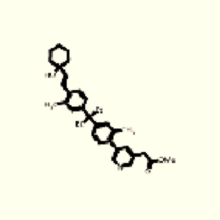 CCC(CC)(c1ccc(/C=C/C2(O)CCCCC2)c(C)c1)c1ccc(-c2cncc(CC(=O)OC)c2)c(C)c1